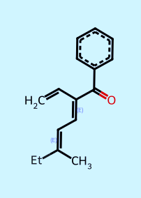 C=C/C(=C\C=C(/C)CC)C(=O)c1ccccc1